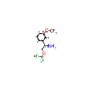 N[C@@H](COC(F)F)c1cccc(OC(F)(F)F)c1